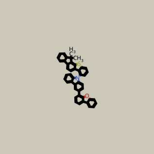 CC1(C)c2ccccc2-c2ccc3c(sc4cccc(-n5c6ccccc6c6cc(-c7cccc8c7oc7ccccc78)ccc65)c43)c21